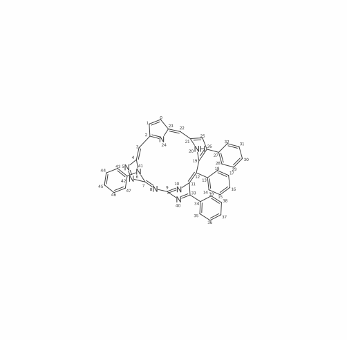 C1=Cc2cc3nnc(nc4nc(c(-c5ccccc5)c5[nH]c(cc1n2)cc5-c1ccccc1)C(c1ccccc1)=N4)n3-c1ccccc1